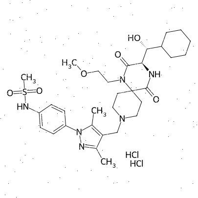 COCCN1C(=O)[C@@H]([C@H](O)C2CCCCC2)NC(=O)C12CCN(Cc1c(C)nn(-c3ccc(NS(C)(=O)=O)cc3)c1C)CC2.Cl.Cl